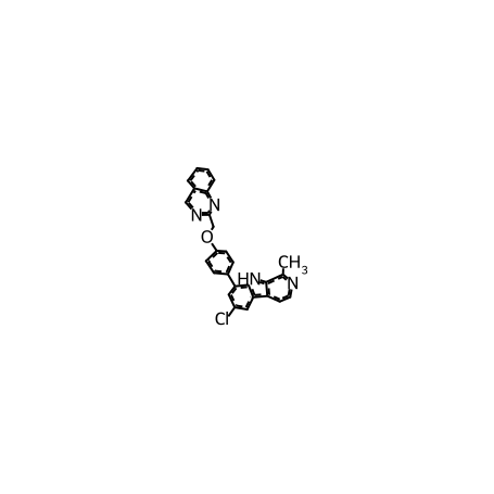 Cc1nccc2c1[nH]c1c(-c3ccc(OCc4ncc5ccccc5n4)cc3)cc(Cl)cc12